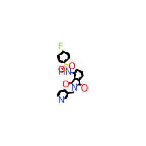 O=C1c2cccc(NS(=O)(=O)c3ccc(F)cc3)c2C(=O)N1Cc1cccnc1